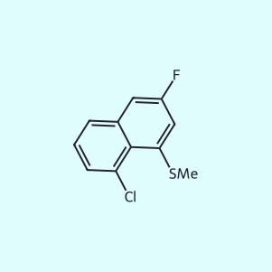 CSc1cc(F)cc2cccc(Cl)c12